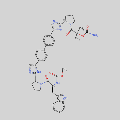 COC(=O)N[C@@H](Cc1c[nH]c2ccccc12)C(=O)N1CCCC1c1ncc(-c2ccc(-c3ccc(-c4cnc([C@@H]5CCCN5C(=O)C(C)(C)OC(N)=O)[nH]4)cc3)cc2)[nH]1